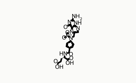 Nc1nc(=O)c2nc(CN(c3ccc(C(=O)N[C@@H](CCC(=O)O)C(=O)O)cc3)[N+](=O)[O-])cnc2[nH]1